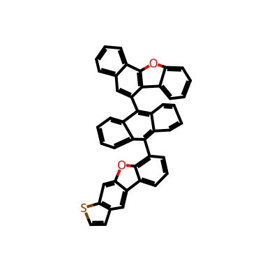 c1ccc2c(c1)cc(-c1c3ccccc3c(-c3cccc4c3oc3cc5sccc5cc34)c3ccccc13)c1c3ccccc3oc21